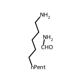 CCCCCCCCCCN.NC=O